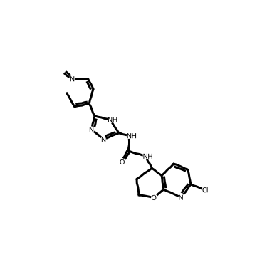 C=N/C=C\C(=C/C)c1nnc(NC(=O)NC2CCOc3nc(Cl)ccc32)[nH]1